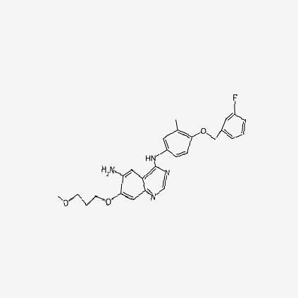 COCCCOc1cc2ncnc(Nc3ccc(OCc4cccc(F)c4)c(C)c3)c2cc1N